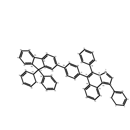 C1=CCCC(c2cnn3c(-c4ccccc4)c(-c4ccc(-c5ccc6c(c5)C(c5ccccc5)(C5C=CC=CC5)c5ccccc5-6)cc4)c4ccccc4c23)=C1